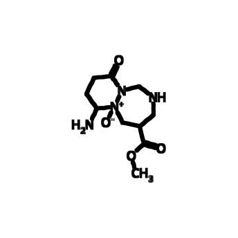 COC(=O)C1CNCN2C(=O)CCC(N)[N+]2([O-])C1